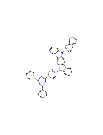 c1ccc(-c2nc(-c3ccccc3)nc(-c3ccc(-n4c5ccccc5c5cc6c(cc54)c4ccccc4n6-c4ccc5ccccc5c4)nc3)n2)cc1